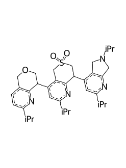 CC(C)c1cc(C2CS(=O)(=O)Cc3c(C4COCc5ccc(C(C)C)nc54)cc(C(C)C)nc32)c2c(n1)CN(C(C)C)C2